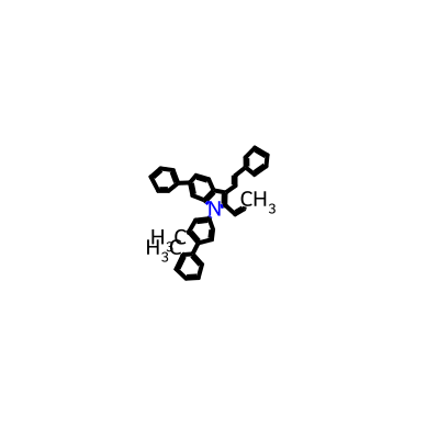 C/C=C\c1c(/C=C/c2ccccc2)c2ccc(-c3ccccc3)cc2n1-c1ccc(-c2ccccc2C)c(C)c1